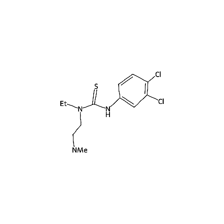 CCN(CCNC)C(=S)Nc1ccc(Cl)c(Cl)c1